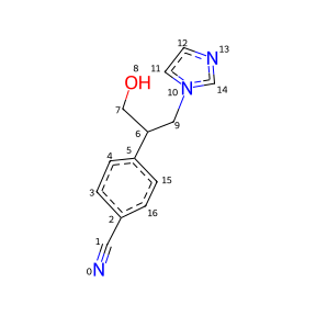 N#Cc1ccc(C(CO)Cn2ccnc2)cc1